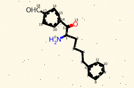 NC(CCCCc1ccccc1)C(=O)c1ccc(C=O)cc1